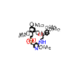 COc1cc(OC)c(C=CS(=O)(=O)Cc2cnc(OC)c(NC=CC(=O)c3ccc(OC)c(OC)c3)c2)c(OC)c1